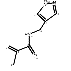 C=C(C)C(=O)NCc1cn[nH]c1